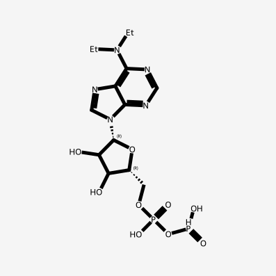 CCN(CC)c1ncnc2c1ncn2[C@@H]1O[C@H](COP(=O)(O)O[PH](=O)O)C(O)C1O